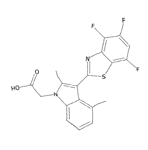 Cc1cccc2c1c(-c1nc3c(F)c(F)cc(F)c3s1)c(C)n2CC(=O)O